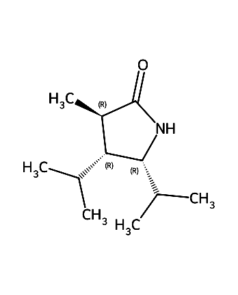 CC(C)[C@H]1[C@@H](C(C)C)NC(=O)[C@@H]1C